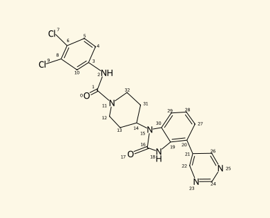 O=C(Nc1ccc(Cl)c(Cl)c1)N1CCC(n2c(=O)[nH]c3c(-c4cncnc4)cccc32)CC1